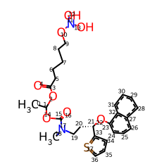 CC(OC(=O)CCCCCON(O)O)OC(=O)N(C)CC[C@H](Oc1cccc2ccccc12)c1cccs1